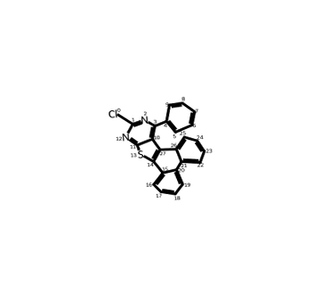 Clc1nc(-c2ccccc2)c2c(n1)sc1c3ccccc3c3ccccc3c12